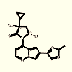 CC[C@H]1C[C@@](C#N)(C2CC2)C(=O)N1c1ccnn2cc(C3=NC(C)N=C3)cc12